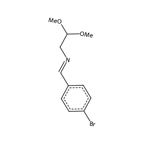 COC(C/N=C/c1ccc(Br)cc1)OC